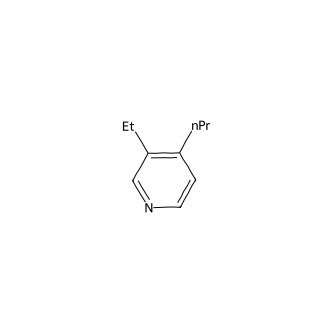 CCCc1ccncc1CC